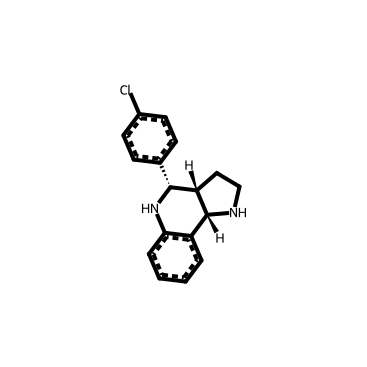 Clc1ccc([C@H]2Nc3ccccc3[C@H]3NCC[C@@H]23)cc1